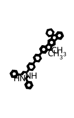 CC1(C)c2cc(C3=CC=C(C4=CC=C(C5C=C(c6ccccc6)NC(c6ccccc6)N5)CC4)CC3)ccc2-c2cc3c(cc21)-c1ccccc1C31CCCCC1